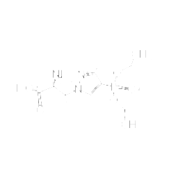 CCOP(=O)(OCC)c1cnn(C[C@H](N)C(=O)O)c1